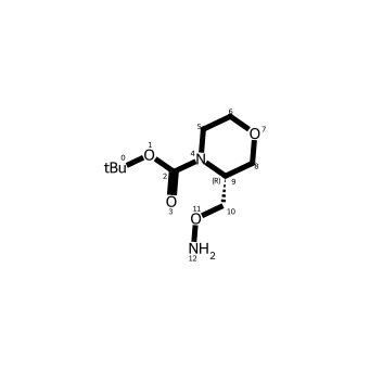 CC(C)(C)OC(=O)N1CCOC[C@@H]1CON